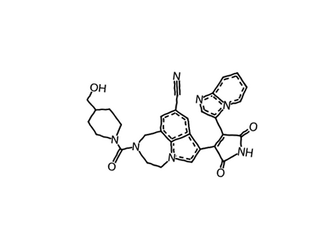 N#Cc1cc2c3c(c1)c(C1=C(c4cnc5ccccn45)C(=O)NC1=O)cn3CCN(C(=O)N1CCC(CO)CC1)C2